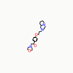 O=C(CN1CCOCC1)c1ccc(OCCCN2CCN3CCCCC3C2)cc1